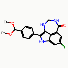 CCOC(OCC)c1ccc(-c2[nH]c3cc(F)cc4c3c2NCNC4=O)cc1